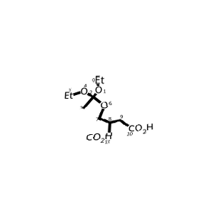 CCOC(C)(OCC)OCC(CC(=O)O)C(=O)O